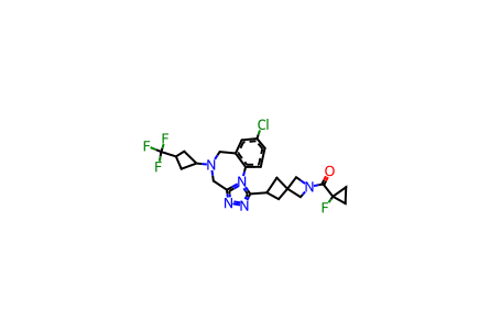 O=C(N1CC2(CC(c3nnc4n3-c3ccc(Cl)cc3CN(C3CC(C(F)(F)F)C3)C4)C2)C1)C1(F)CC1